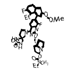 CCc1c(F)ccc2cc(OCOC)cc(-c3ccc4c(N5CCCC6(CNS(=O)(=O)N6)C5)nc(OC[C@]56CCCN5[C@@H](OC(=O)N(C)CC)CC6)nc4c3F)c12